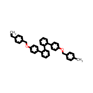 C=Cc1ccc(COc2ccc(-c3ccccc3-c3ccccc3-c3ccc(OCc4ccc(C)cc4)cc3)cc2)cc1